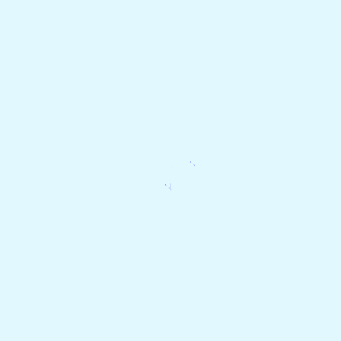 [c]1ccc2c(c1)nc(-c1ccccc1)n2-c1ccccc1